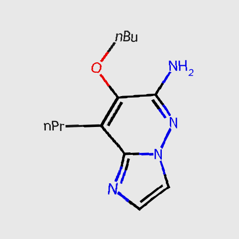 CCCCOc1c(N)nn2ccnc2c1CCC